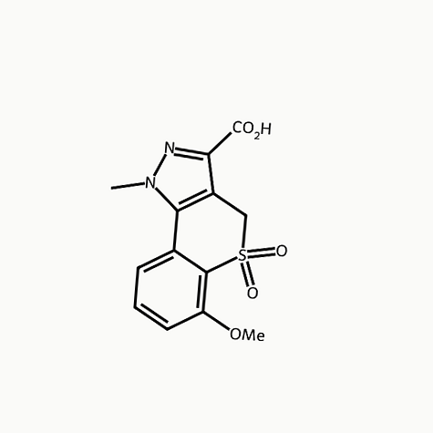 COc1cccc2c1S(=O)(=O)Cc1c(C(=O)O)nn(C)c1-2